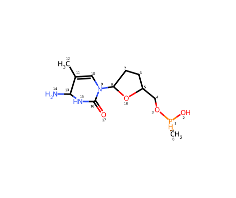 C=[PH](O)OCC1CCC(N2C=C(C)C(N)NC2=O)O1